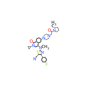 C[C@@H]1CCCN1C(=O)CN1CCN(c2ccc3c(=O)n(C4CC4)cc(N(C)c4nc(-c5ccc(F)cc5)c(C#N)s4)c3c2)CC1